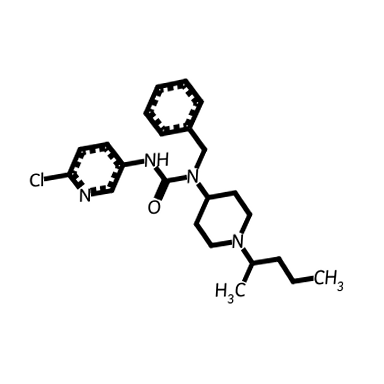 CCCC(C)N1CCC(N(Cc2ccccc2)C(=O)Nc2ccc(Cl)nc2)CC1